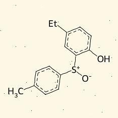 CCc1ccc(O)c([S+]([O-])c2ccc(C)cc2)c1